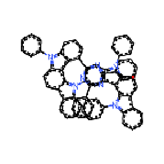 c1ccc(-c2nc(-c3ccccc3)nc(-c3cccc4c3c3c(ccc5c6ccccc6n(-c6ccc7c(c6)c6c(ccc8c9ccccc9n(-c9ccccc9)c86)n7-c6ccccc6)c53)n4-c3ccccc3)n2)cc1